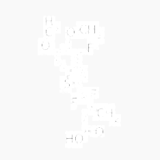 C=C(CC(=O)O)C(F)(F)c1cc2c(F)c(OC)c(OC)cc2s1